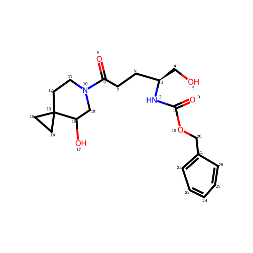 O=C(N[C@H](CO)CCC(=O)N1CCC2(CC2)C(O)C1)OCc1ccccc1